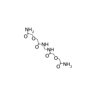 NC(=O)COCC(=O)NCNC(=O)COCC(N)=O